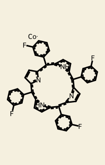 Fc1cccc(-c2c3nc(c(-c4cccc(F)c4)c4ccc([nH]4)c(-c4cccc(F)c4)c4nc(c(-c5cccc(F)c5)c5ccc2[nH]5)C=C4)C=C3)c1.[Co]